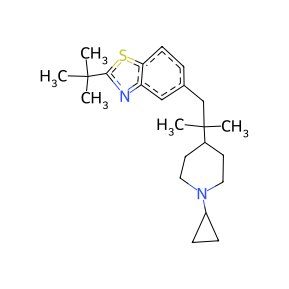 CC(C)(C)c1nc2cc(CC(C)(C)C3CCN(C4CC4)CC3)ccc2s1